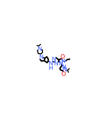 C=CCn1c(=O)c2cnc(Nc3ccc4c(ccn4C4CCN(C(C)C)CC4)c3)nc2n1-c1ccc(=O)n(C(C)C)n1